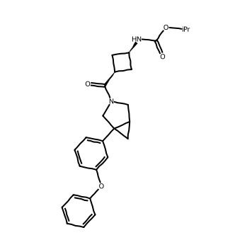 CC(C)OC(=O)N[C@H]1C[C@@H](C(=O)N2CC3CC3(c3cccc(Oc4ccccc4)c3)C2)C1